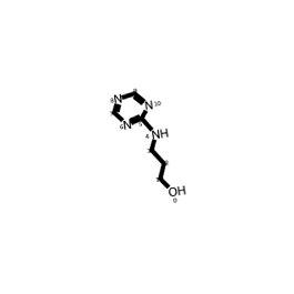 OCCCNc1ncncn1